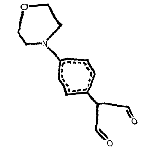 O=CC(C=O)c1ccc(N2CCOCC2)cc1